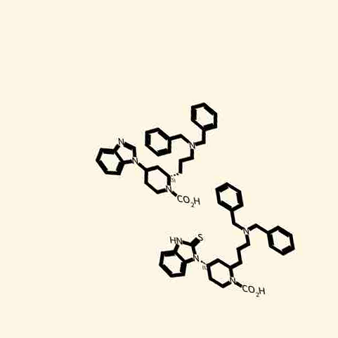 O=C(O)N1CCC(n2cnc3ccccc32)C[C@@H]1CCCN(Cc1ccccc1)Cc1ccccc1.O=C(O)N1CC[C@H](n2c(=S)[nH]c3ccccc32)CC1CCCN(Cc1ccccc1)Cc1ccccc1